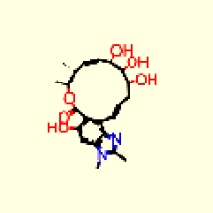 Cc1nc2c3c(c(O)cc2n1C)C(=O)O[C@@H](C)[C@H](C)/C=C\[C@H](O)[C@@H](O)[C@@H](O)C/C=C/3